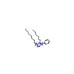 CCCCCCCC[n+]1ccn(-c2ccccc2)c1CCCCCC